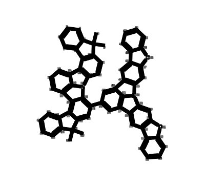 CC1(C)c2ccccc2-c2c1ccc1c2c2cccc3c4c5c(cc(-c6cc7c8cc9c(cc8n8c%10cc%11oc%12ccccc%12c%11cc%10c(c6)c78)oc6ccccc69)c4n1c23)C(C)(C)c1ccccc1-5